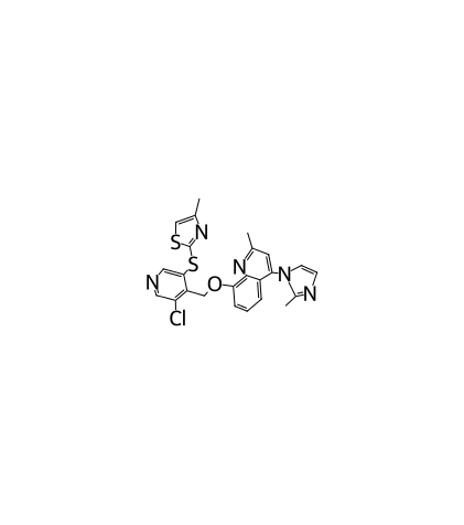 Cc1csc(Sc2cncc(Cl)c2COc2cccc3c(-n4ccnc4C)cc(C)nc23)n1